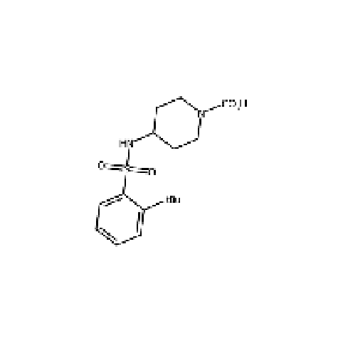 CC(C)(C)c1ccccc1S(=O)(=O)NC1CCN(C(=O)O)CC1